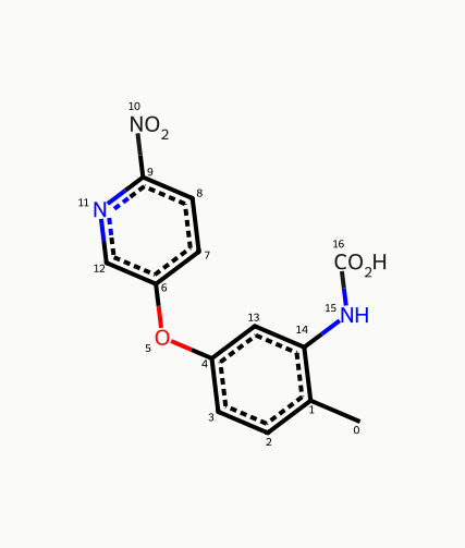 Cc1ccc(Oc2ccc([N+](=O)[O-])nc2)cc1NC(=O)O